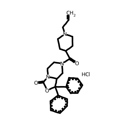 C=CCN1CCC(C(=O)N2CCN3C(=O)OC(c4ccccc4)(c4ccccc4)C3C2)CC1.Cl